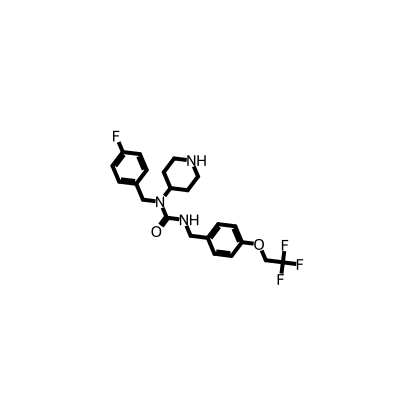 O=C(NCc1ccc(OCC(F)(F)F)cc1)N(Cc1ccc(F)cc1)C1CCNCC1